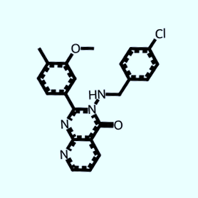 COc1cc(-c2nc3ncccc3c(=O)n2NCc2ccc(Cl)cc2)ccc1C